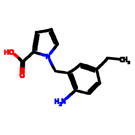 CCc1ccc(N)c(Cn2cccc2C(=O)O)c1